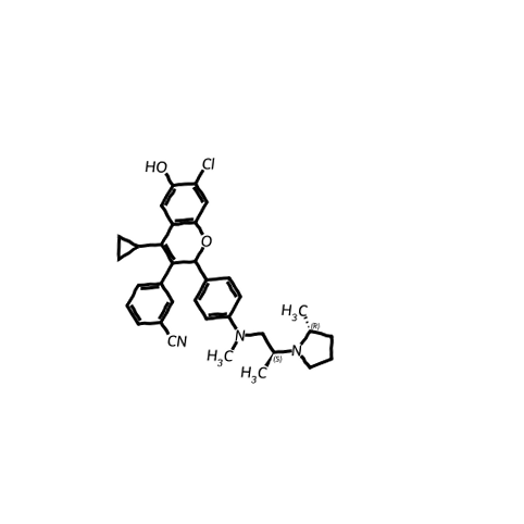 C[C@@H]1CCCN1[C@@H](C)CN(C)c1ccc(C2Oc3cc(Cl)c(O)cc3C(C3CC3)=C2c2cccc(C#N)c2)cc1